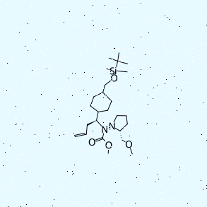 C=CC[C@@H](C1CCC(CO[Si](C)(C)C(C)(C)C)CC1)N(C(=O)OC)N1CCC[C@@H]1COC